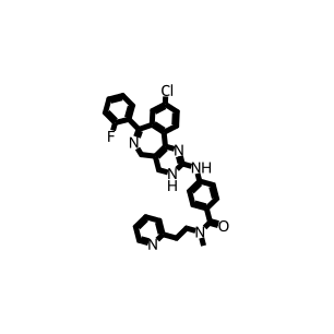 CN(CCc1ccccn1)C(=O)c1ccc(NC2=NC3=C(CN=C(c4ccccc4F)c4cc(Cl)ccc43)CN2)cc1